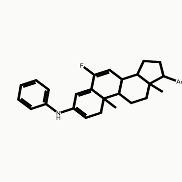 CC(=O)C1CCC2C3C=C(F)C4=CC(Nc5ccccc5)=CCC4(C)C3CCC12C